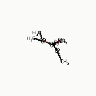 CCCCCCCCCCCOC(=O)CCCCCN1CC(OC(=O)CCN(C)C)C[C@H]1C(=O)OCCCCCCCC(=O)OC(CCCCCCCC)CCCCCCCC